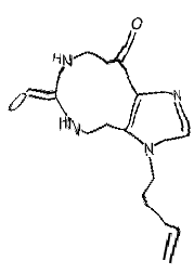 C=CCn1cnc2c(=O)[nH]c(=O)[nH]c21